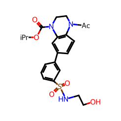 CC(=O)N1CCN(C(=O)OC(C)C)c2cc(-c3cccc(S(=O)(=O)NCCO)c3)ccc21